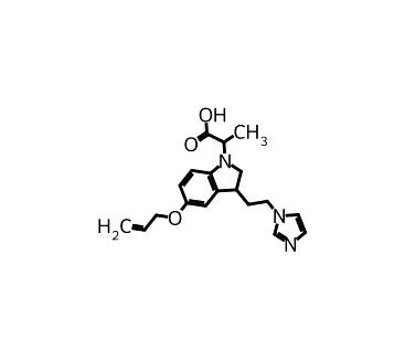 C=CCOc1ccc2c(c1)C(CCn1ccnc1)CN2C(C)C(=O)O